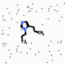 CCCc1cncn1CCC